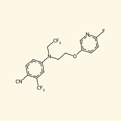 [C-]#[N+]c1ccc(N(CCOc2ccc(F)nc2)CC(F)(F)F)cc1C(F)(F)F